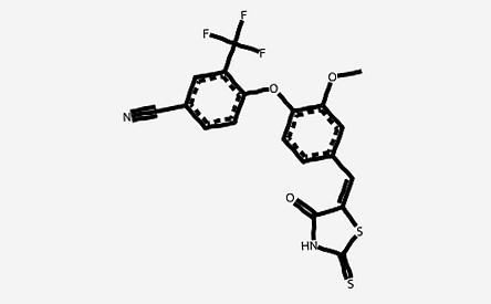 COc1cc(/C=C2/SC(=S)NC2=O)ccc1Oc1ccc(C#N)cc1C(F)(F)F